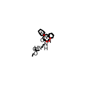 CCOC(=O)CNCCNc1nc2ccccc2n(C2CC3CCC(C2)N3C2CCCCCCC2)c1=O